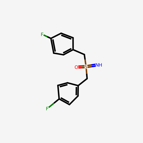 N=S(=O)(Cc1ccc(F)cc1)Cc1ccc(F)cc1